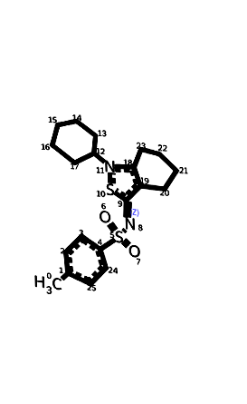 Cc1ccc(S(=O)(=O)/N=c2\sn(C3CCCCC3)c3c2CCCC3)cc1